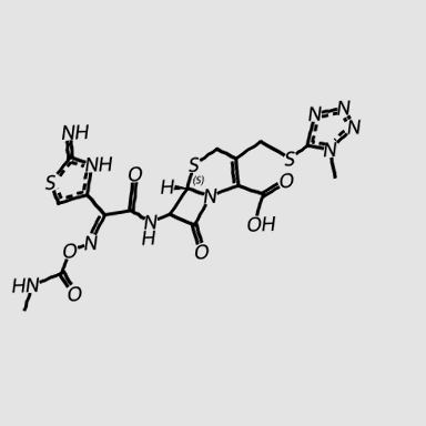 CNC(=O)ON=C(C(=O)NC1C(=O)N2C(C(=O)O)=C(CSc3nnnn3C)CS[C@@H]12)c1csc(=N)[nH]1